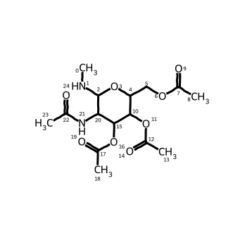 CNC1OC(COC(C)=O)C(OC(C)=O)C(OC(C)=O)C1NC(C)=O